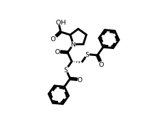 O=C(SC[C@H](SC(=O)c1ccccc1)C(=O)N1CCCC1C(=O)O)c1ccccc1